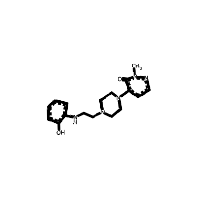 Cn1nccc(N2CCN(CCNc3ccccc3O)CC2)c1=O